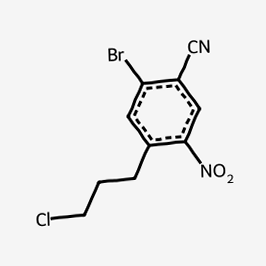 N#Cc1cc([N+](=O)[O-])c(CCCCl)cc1Br